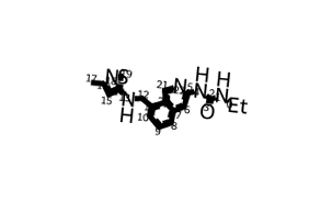 CCNC(=O)Nc1cc2cccc(CNc3cc(C)ns3)c2cn1